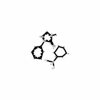 Cn1cnn(-c2ccccc2)[c]1=[Pt].IN(I)C1CCCCC1